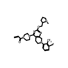 C=CC(=O)N1CCN(c2nc(OCC3CCCN3C)nc3c2CCN(c2cccc(F)c2C(F)(F)F)C3)CC1